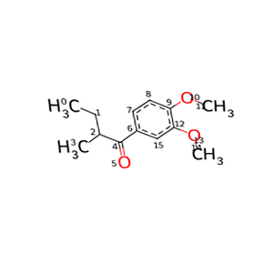 CCC(C)C(=O)c1ccc(OC)c(OC)c1